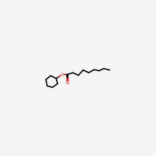 CCCCCCC[CH]C(=O)OC1CCCCC1